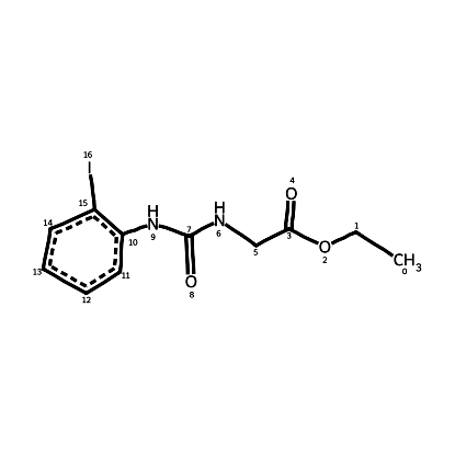 CCOC(=O)CNC(=O)Nc1ccccc1I